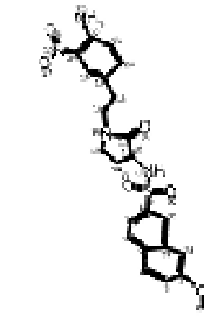 COc1ccc2ccc(S(=O)(=O)N[C@H]3CCN(CCc4ccc(N)c([N+](=O)[O-])c4)C3=O)cc2c1